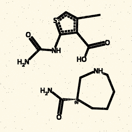 Cc1csc(NC(N)=O)c1C(=O)O.NC(=O)[C@H]1CCCCNC1